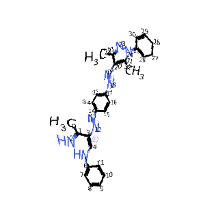 CC(=N)C(=C\Nc1ccccc1)/N=N/c1ccc(/N=N/c2c(C)nn(C3=CCCC=C3)c2C)cc1